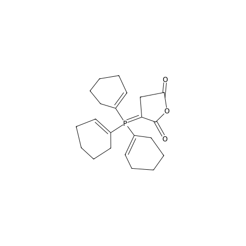 O=C1CC(=P(C2=CCCCC2)(C2=CCCCC2)C2=CCCCC2)C(=O)O1